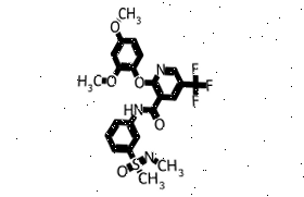 CN=S(C)(=O)c1cccc(NC(=O)c2cc(C(F)(F)F)cnc2Oc2ccc(OC)cc2OC)c1